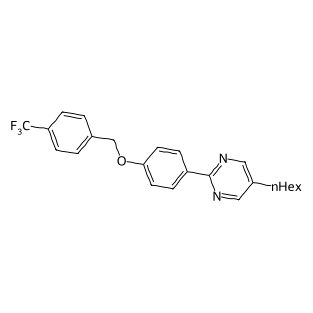 CCCCCCc1cnc(-c2ccc(OCc3ccc(C(F)(F)F)cc3)cc2)nc1